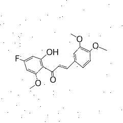 COc1ccc(/C=C/C(=O)c2c(O)cc(F)cc2OC)cc1OC